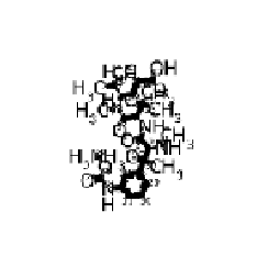 CN[C@H](C(=O)N[C@H](C(=O)N(C)[C@H](/C=C(\C)C(=O)O)C(C)C)C(C)(C)C)C(C)(C)c1cccc(NC(=O)ON)c1